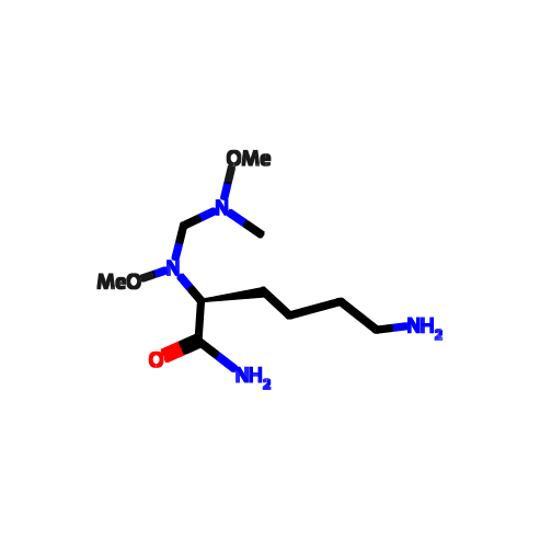 CON(C)CN(OC)[C@@H](CCCCN)C(N)=O